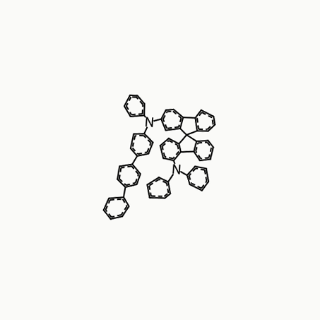 c1ccc(-c2ccc(-c3ccc(N(c4ccccc4)c4ccc5c(c4)C4(c6ccccc6-5)c5ccccc5-c5c(N(c6ccccc6)c6ccccc6)cccc54)cc3)cc2)cc1